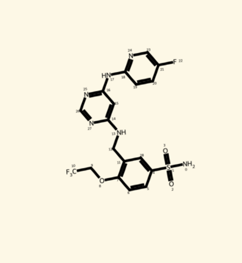 NS(=O)(=O)c1ccc(OCC(F)(F)F)c(CNc2cc(Nc3ccc(F)cn3)ncn2)c1